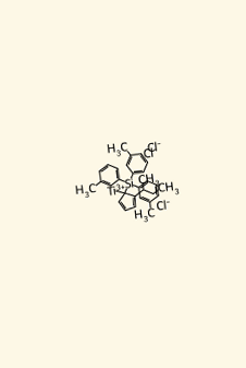 CCC(C)C1=CC=C[C]1([Ti+3])[Si](c1cccc(C)c1)(c1cccc(C)c1)c1cccc(C)c1.[Cl-].[Cl-].[Cl-]